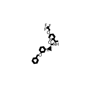 CC(NC(=O)[C@@H]1C[C@H]1c1cccc(OCc2ccccc2)c1)c1ccc(OCC(F)(F)F)cn1